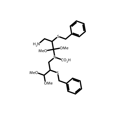 COC(OC)C(CN(C(=O)O)C(OC)(OC)C(CN)SCc1ccccc1)SCc1ccccc1